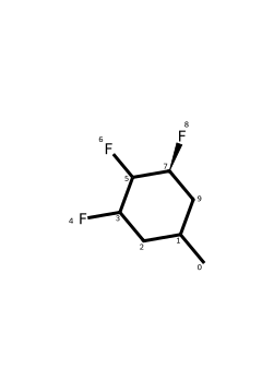 CC1CC(F)C(F)[C@@H](F)C1